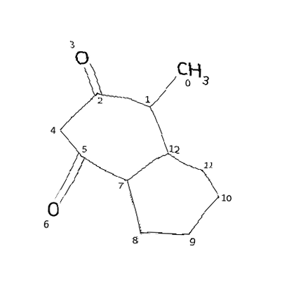 CC1C(=O)CC(=O)C2CCCCC12